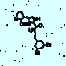 CCC1CC(CC)CC(CCNC(=O)c2cc(-c3cccnc3OC)c[nH]2)C1